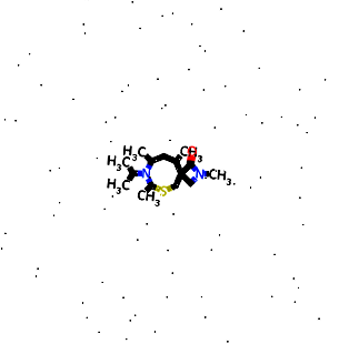 CC(C)N1C(C)CC(C)C2(CSC1C)CN(C)C2=O